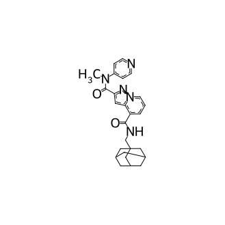 CN(C(=O)c1cc2c(C(=O)NCC34CC5CC(CC(C5)C3)C4)cccn2n1)c1ccncc1